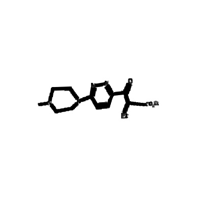 CCOC(=O)C(CC)C(=O)c1ccc(N2CCN(C)CC2)nn1